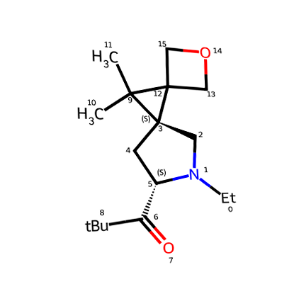 CCN1C[C@@]2(C[C@H]1C(=O)C(C)(C)C)C(C)(C)C21COC1